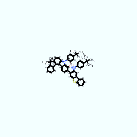 CC(C)(C)c1ccc(Nc2cc3c(cc2-c2ccc4c5c6c(ccc5n5c4c2Bc2cc(C(C)(C)C)ccc2-5)C(C)(C)c2ccccc2-6)sc2ccccc23)cc1